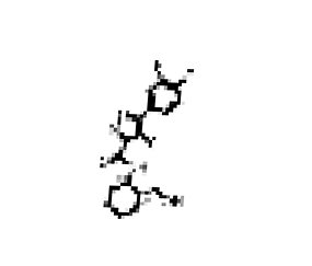 O=C(N[C@@H]1CCCC[C@@H]1CO)c1noc(-c2ccc(F)c(F)c2)c1Cl